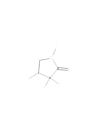 O=C1N(F)CC(Cl)C1(F)F